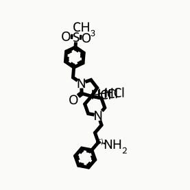 CS(=O)(=O)c1ccc(CN2CCC3(CCN(CC[C@H](N)c4ccccc4)CC3)C2=O)cc1.Cl.Cl.Cl